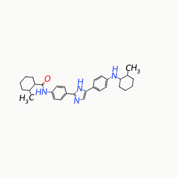 CC1CCCCC1Nc1ccc(-c2cnc(-c3ccc(NC(=O)C4CCCCC4C)cc3)[nH]2)cc1